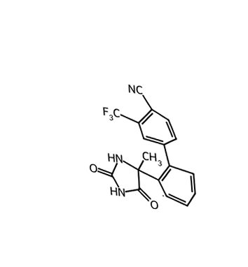 CC1(c2[c]cccc2-c2ccc(C#N)c(C(F)(F)F)c2)NC(=O)NC1=O